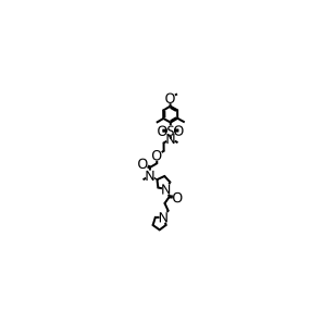 COc1cc(C)c(S(=O)(=O)N(C)CCOCC(=O)N(C)[C@H]2CCN(C(=O)CCN3CCCC3)C2)c(C)c1